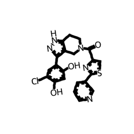 O=C(c1csc(-c2cccnc2)n1)N1CCc2[nH]nc(-c3cc(Cl)c(O)cc3O)c2C1